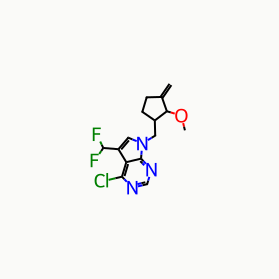 C=C1CCC(Cn2cc(C(F)F)c3c(Cl)ncnc32)C1OC